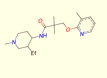 CCC1CN(C)CCC1NC(=O)C(C)(C)COc1ncccc1C